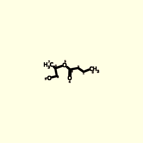 CCCC(=O)OC(C)C[O]